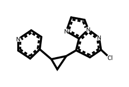 Clc1cc(C2CC2c2ccncc2)c2nccn2n1